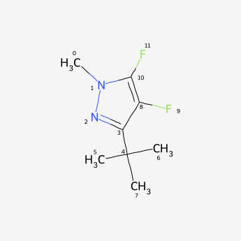 Cn1nc(C(C)(C)C)c(F)c1F